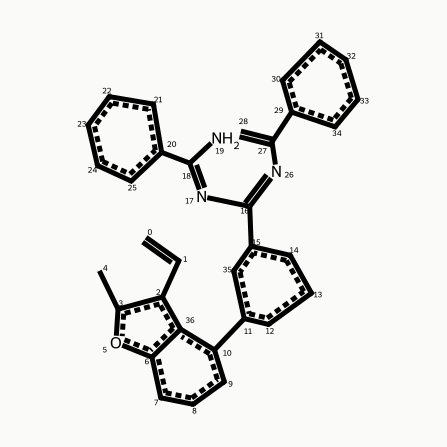 C=Cc1c(C)oc2cccc(-c3cccc(C(/N=C(\N)c4ccccc4)=N/C(=C)c4ccccc4)c3)c12